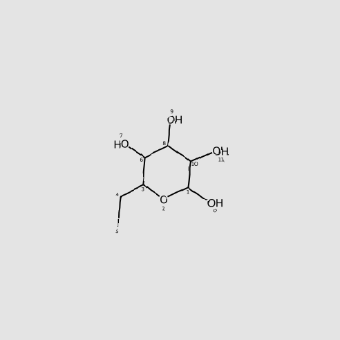 OC1OC(CI)C(O)C(O)C1O